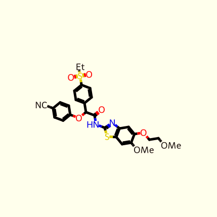 CCS(=O)(=O)c1ccc(C(Oc2ccc(C#N)cc2)C(=O)Nc2nc3cc(OCCOC)c(OC)cc3s2)cc1